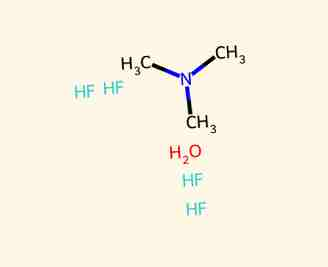 CN(C)C.F.F.F.F.O